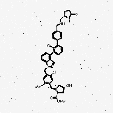 COC(=O)[C@@H]1C[C@@H](O)CN1Cc1cc(Cl)c(Cn2ncc3c(-c4cccc(-c5ccc(CNC[C@@H]6CCC(=O)N6)cc5)c4Cl)cccc32)cc1OC